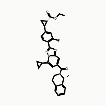 CCOC(=O)[C@H]1CC1c1ccc(-c2nc3cc(C(=O)N4CCc5ccccc5[C@H]4C)cc(C4CC4)n3n2)c(F)c1